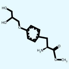 COC(=O)[C@@H](N)Cc1ccc(OCC(O)CO)cc1